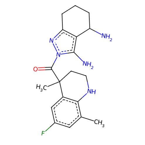 Cc1cc(F)cc2c1NCCC2(C)C(=O)n1nc2c(c1N)C(N)CCC2